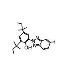 CCC(C)(C)c1cc(-n2nc3ccc(I)cc3n2)c(O)c(C(C)(C)CC)c1